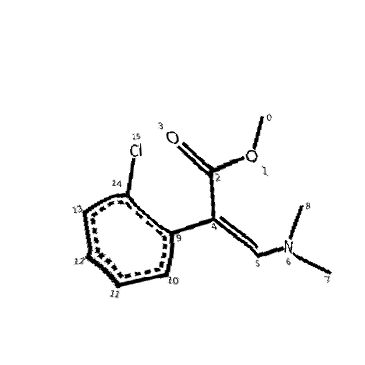 COC(=O)C(=CN(C)C)c1ccccc1Cl